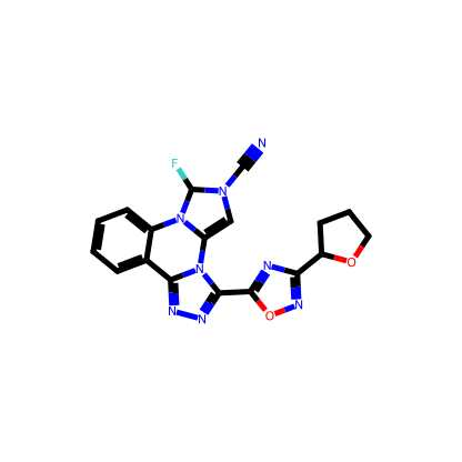 N#CN1C=C2N(c3ccccc3-c3nnc(-c4nc(C5CCCO5)no4)n32)C1F